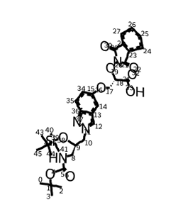 CC(C)(C)OC(=O)NC[C@H](Cn1cc2cc(OC[C@H](ON3C(=O)c4ccccc4C3=O)C(=O)O)ccc2n1)O[Si](C)(C)C(C)(C)C